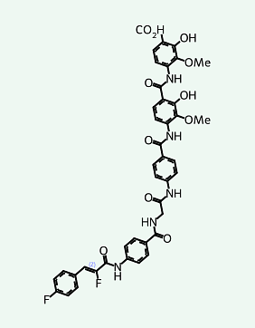 COc1c(NC(=O)c2ccc(NC(=O)c3ccc(NC(=O)CNC(=O)c4ccc(NC(=O)/C(F)=C/c5ccc(F)cc5)cc4)cc3)c(OC)c2O)ccc(C(=O)O)c1O